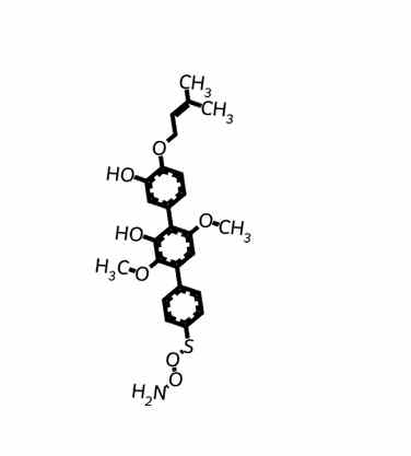 COc1cc(-c2ccc(SOON)cc2)c(OC)c(O)c1-c1ccc(OCC=C(C)C)c(O)c1